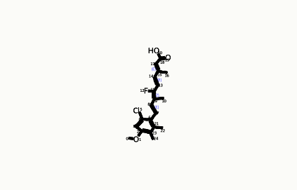 COc1cc(Cl)c(/C=C/C(C)=C(F)/C=C/C(C)=C/C(=O)O)c(C)c1C